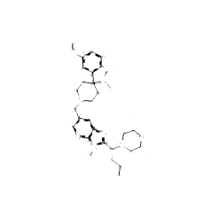 CCC[C@@H](c1nc2cc(CN3CCC(c4cccc(OC)c4)(N(C)C)CC3)cnc2n1C)N1C[C@@H](C)N[C@@H](C)C1